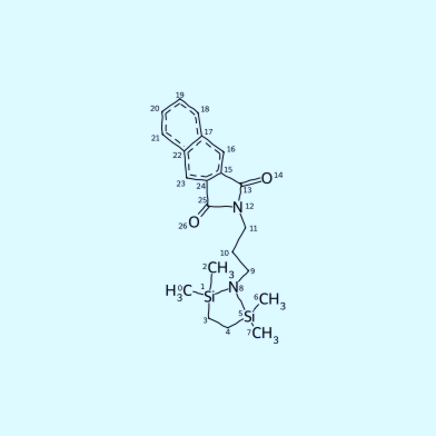 C[Si]1(C)CC[Si](C)(C)N1CCCN1C(=O)c2cc3ccccc3cc2C1=O